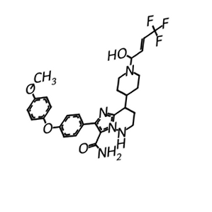 COc1ccc(Oc2ccc(-c3nc4n(c3C(N)=O)NCCC4C3CCN(C(O)/C=C/C(F)(F)F)CC3)cc2)cc1